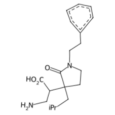 CC(C)CC1(C(CN)C(=O)O)CCN(CCc2ccccc2)C1=O